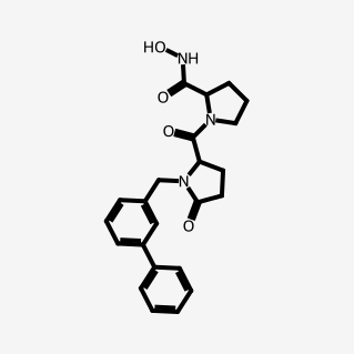 O=C(NO)C1CCCN1C(=O)C1CCC(=O)N1Cc1cccc(-c2ccccc2)c1